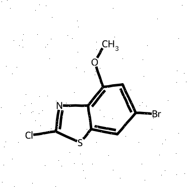 COc1cc(Br)cc2sc(Cl)nc12